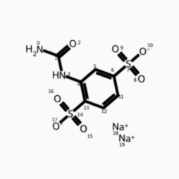 NC(=O)Nc1cc(S(=O)(=O)[O-])ccc1S(=O)(=O)[O-].[Na+].[Na+]